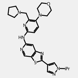 CC(C)n1cc(-c2nc3cc(Nc4ccc(N5CCOCC5)c(CN5CCCC5)n4)ncc3s2)cn1